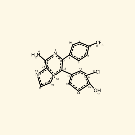 Nc1nc(-c2ccc(C(F)(F)F)cc2)c(-c2ccc(O)c(Cl)c2)n2ccnc12